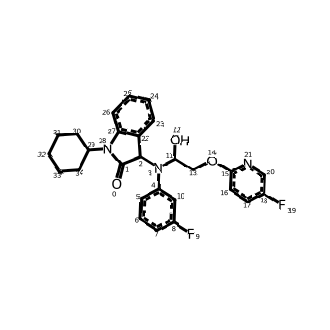 O=C1C(N(c2cccc(F)c2)C(O)COc2ccc(F)cn2)c2ccccc2N1C1CCCCC1